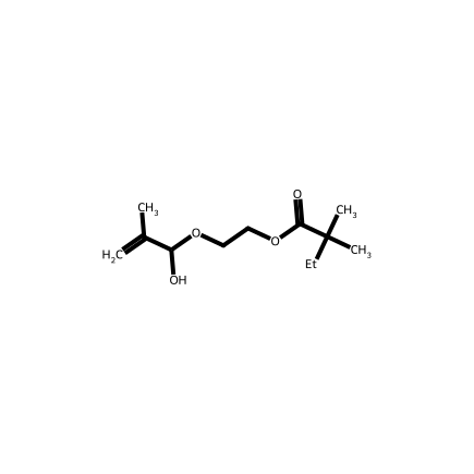 C=C(C)C(O)OCCOC(=O)C(C)(C)CC